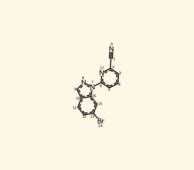 N#Cc1cccc(-n2ncc3ccc(Br)cc32)n1